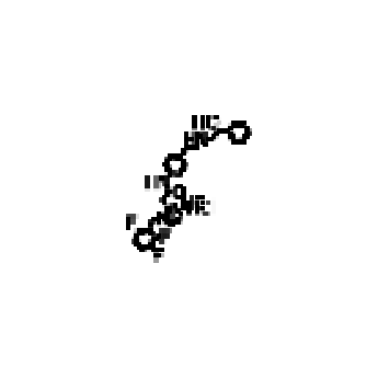 Cl.Cl.O=C(Cc1nccn1Cc1c(F)ccc(F)c1F)Nc1ccc(CCNCC(O)c2ccccc2)cc1